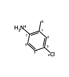 Cc1cc(Cl)[c]cc1N